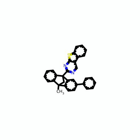 CC12CC(c3ncc4c(n3)sc3ccccc34)(c3ccccc31)c1cc(-c3ccccc3)ccc12